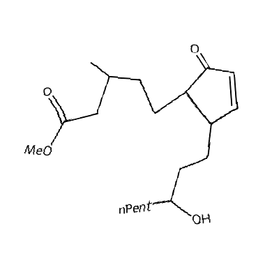 CCCCCC(O)CCC1C=CC(=O)C1CCC(C)CC(=O)OC